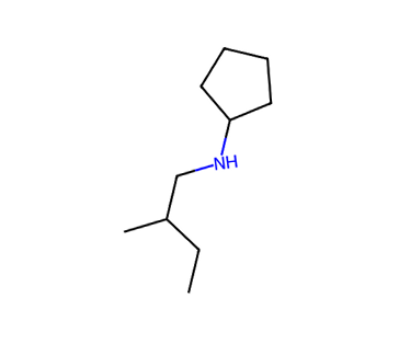 CCC(C)CNC1CCCC1